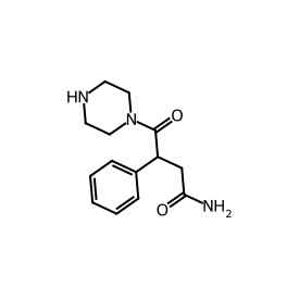 NC(=O)CC(C(=O)N1CCNCC1)c1ccccc1